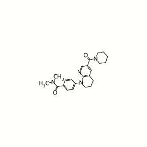 CN(C)C(=O)c1ccc(N2CCCc3cc(C(=O)N4CCCCC4)cnc32)cc1